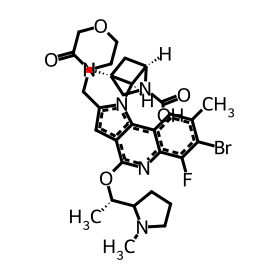 Cc1cc2c(nc(O[C@@H](C)C3CCCN3C)c3cc(CN4CCOCC4=O)n([C@H]4[C@@H]5C[C@H]4N(C(=O)O)C5)c32)c(F)c1Br